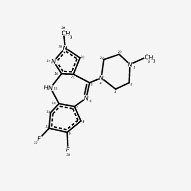 CN1CCN(C2=Nc3cc(F)c(F)cc3Nc3nn(C)cc32)CC1